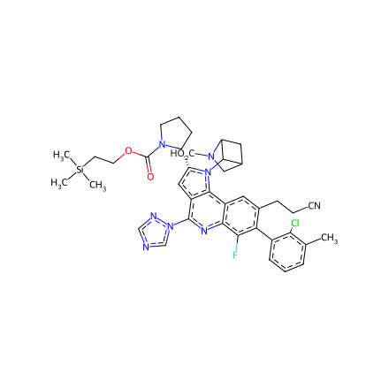 Cc1cccc(-c2c(CCC#N)cc3c(nc(-n4cncn4)c4cc([C@H]5CCCN5C(=O)OCC[Si](C)(C)C)n(C5C6CC5N(C(=O)O)C6)c43)c2F)c1Cl